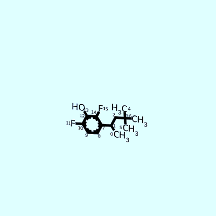 CC(CC(C)(C)C)c1ccc(F)c(O)c1F